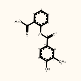 COC(=O)c1ccccc1OC(=O)c1ccc(O)c(OC)c1